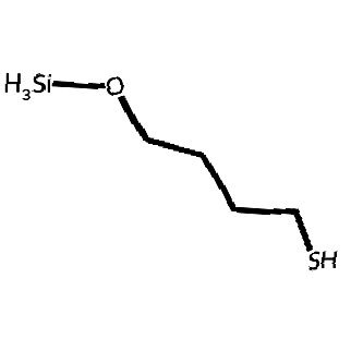 [SiH3]OCCCCS